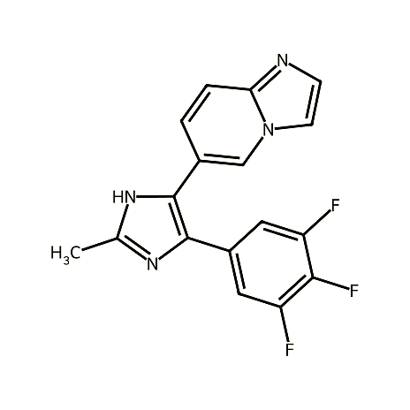 Cc1nc(-c2cc(F)c(F)c(F)c2)c(-c2ccc3nccn3c2)[nH]1